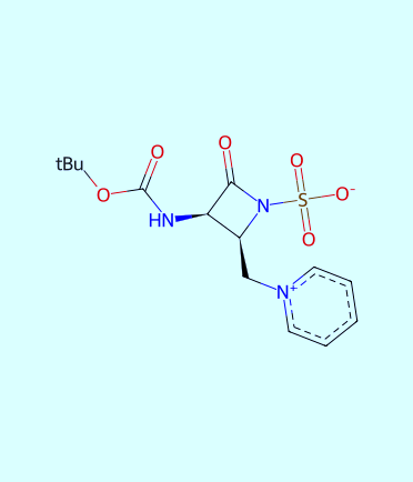 CC(C)(C)OC(=O)N[C@H]1C(=O)N(S(=O)(=O)[O-])[C@H]1C[n+]1ccccc1